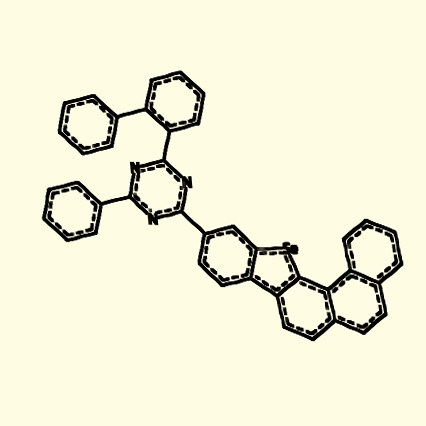 c1ccc(-c2nc(-c3ccc4c(c3)[se]c3c4ccc4ccc5ccccc5c43)nc(-c3ccccc3-c3ccccc3)n2)cc1